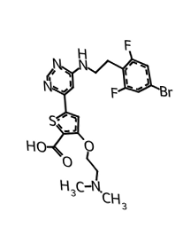 CN(C)CCOc1cc(-c2cc(NCCc3c(F)cc(Br)cc3F)ncn2)sc1C(=O)O